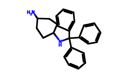 NC1CCC(NC(c2ccccc2)(c2ccccc2)c2ccccc2)CC1